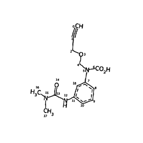 C#CCOCN(C(=O)O)c1cccc(NC(=O)N(C)C)c1